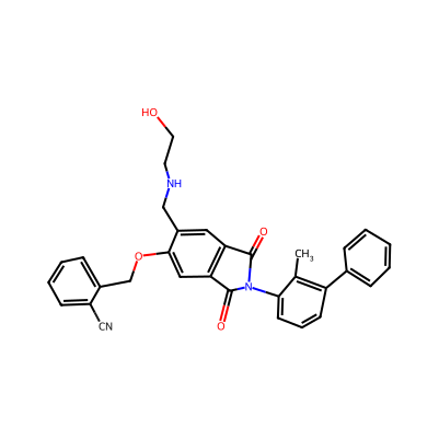 Cc1c(-c2ccccc2)cccc1N1C(=O)c2cc(CNCCO)c(OCc3ccccc3C#N)cc2C1=O